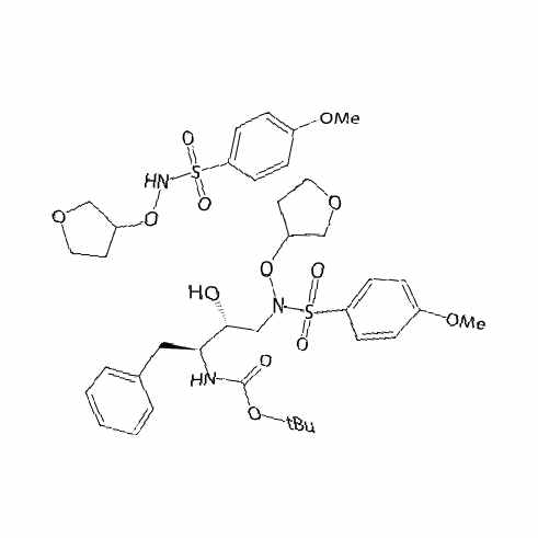 COc1ccc(S(=O)(=O)N(C[C@@H](O)[C@H](Cc2ccccc2)NC(=O)OC(C)(C)C)OC2CCOC2)cc1.COc1ccc(S(=O)(=O)NOC2CCOC2)cc1